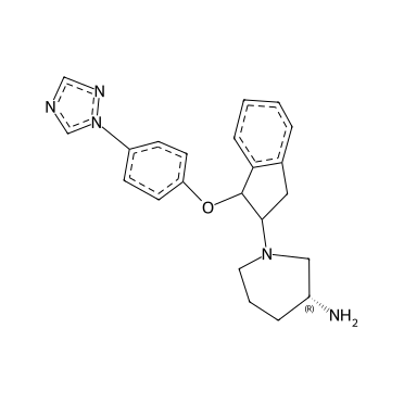 N[C@@H]1CCCN(C2Cc3ccccc3C2Oc2ccc(-n3cncn3)cc2)C1